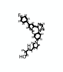 C[C@H](CO)NCC1CCN(c2ccc3c(c2)Cn2cc(-c4ccc(F)cc4)cc2-c2ncnn2-3)C1